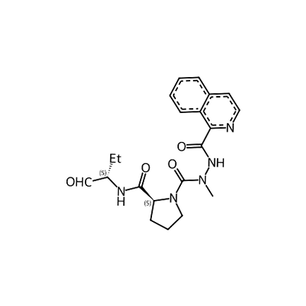 CC[C@@H](C=O)NC(=O)[C@@H]1CCCN1C(=O)N(C)NC(=O)c1nccc2ccccc12